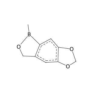 CB1OCc2cc3c(cc21)OCO3